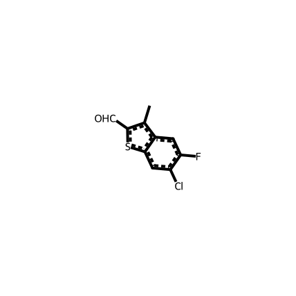 Cc1c(C=O)sc2cc(Cl)c(F)cc12